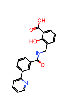 O=C(NCc1cccc(C(=O)O)c1O)c1cccc(-c2ccccn2)c1